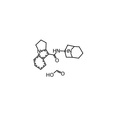 O=C(NC1CC2CCCC(C1)N2)c1c2n(c3ccccc13)CCC2.O=CO